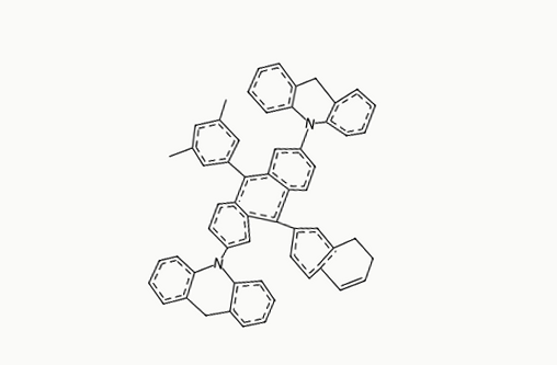 Cc1cc(C)cc(-c2c3ccc(N4c5ccccc5Cc5ccccc54)cc3c(-c3ccc4c(c3)CCC=C4)c3ccc(N4c5ccccc5Cc5ccccc54)cc23)c1